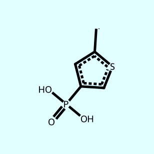 [CH2]c1cc(P(=O)(O)O)cs1